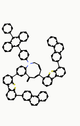 C=C1/C=C(c2cccc3c2sc2c(-c4ccc5c(ccc6ccccc65)c4)cccc23)\C=C/CN(c2ccc(-c3c4ccccc4c(-c4ccccc4)c4ccccc34)cc2)c2ccc(-c3cccc4c3sc3c(-c5ccc6c(ccc7ccccc76)c5)cccc34)cc21